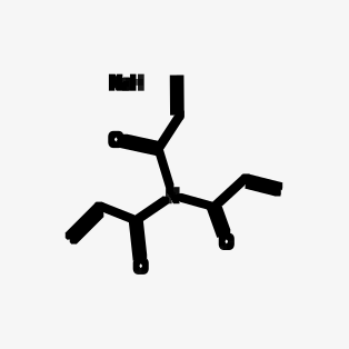 C=CC(=O)N(C(=O)C=C)C(=O)C=C.[NaH]